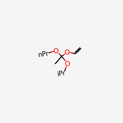 C=COC(C)(OC[CH]C)OC(C)C